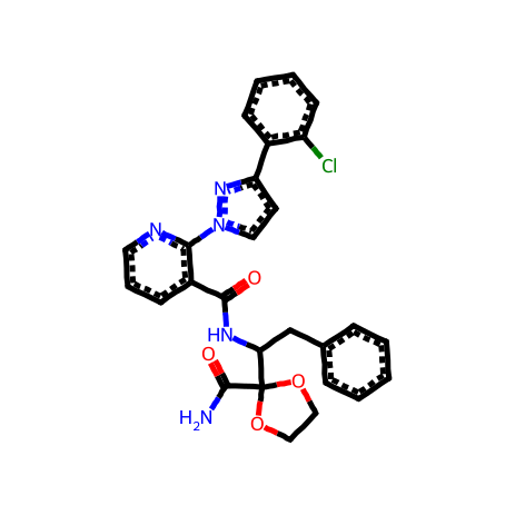 NC(=O)C1(C(Cc2ccccc2)NC(=O)c2cccnc2-n2ccc(-c3ccccc3Cl)n2)OCCO1